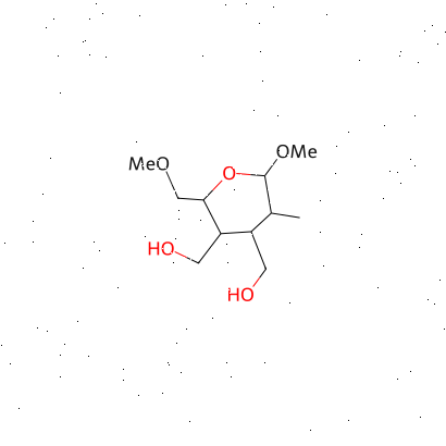 COCC1OC(OC)C(C)C(CO)C1CO